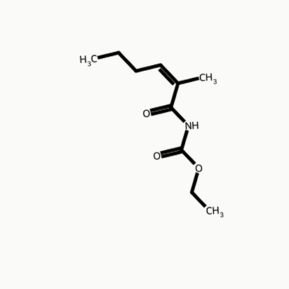 CCCC=C(C)C(=O)NC(=O)OCC